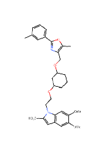 COc1cc2cc(C(=O)O)n(CCOC3CCCC(OCc4nc(-c5cccc(C)c5)oc4C)C3)c2cc1OC